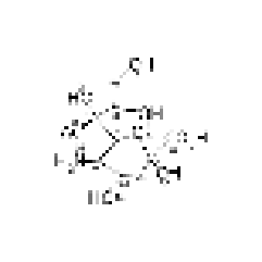 CC(=O)[C@@](O)([C@H](O)CO)[C@@H]1O[C@](O)(C(=O)O)C[C@H](O)[C@H]1N